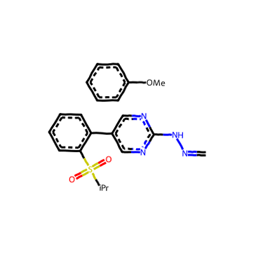 C=NNc1ncc(-c2ccccc2S(=O)(=O)C(C)C)cn1.COc1ccccc1